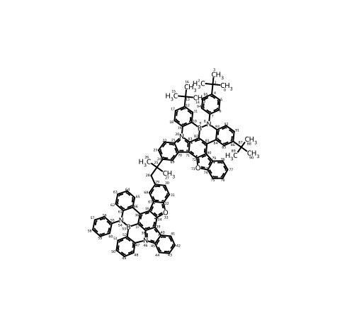 CC(C)(C)c1ccc(N2B3c4cc(C(C)(C)C)ccc4-n4c5ccc(C(C)(C)Cc6ccc7oc8c(c9c%10c%11c8c8ccccc8n%11-c8ccccc8B%10N(c8ccccc8)c8ccccc8-9)c7c6)cc5c5c6oc7ccccc7c6c(c3c54)-c3cc(C(C)(C)C)ccc32)cc1